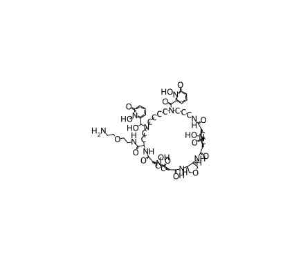 NCCOCCNC(=O)C1CCN(C(O)c2cccc(=O)n2O)CCCCN(C(=O)c2cccc(=O)n2O)CCCNC(=O)c2ccc(c(=O)n2O)C(=O)N[C@@H]2COC[C@@H]2NC(=O)c2ccc(n(O)c2=O)C(=O)N1